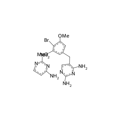 COc1cc(Cc2cnc(N)nc2N)cc(OC)c1Br.Nc1ccnc(N)n1